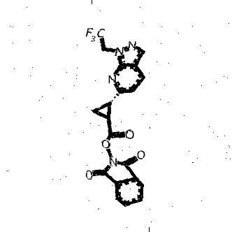 O=C(ON1C(=O)c2ccccc2C1=O)C1C[C@@H]1c1ccc2cnn(CC(F)(F)F)c2n1